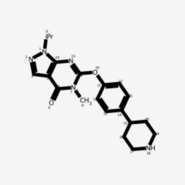 CC(C)n1ncc2c(=O)n(C)c(Oc3ccc(C4CCNCC4)cc3)nc21